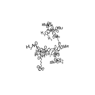 C=C1C[C@@H](CO[Si](C)(C)C(C)(C)C)N(C(=O)c2cc(OC)c(OCCCCCOc3cc(NC(=O)OC(C)(C)C)c(C(=O)N4CC(C)(C)C[C@H]4CO[Si](C)(C)C(C)(C)C)cc3OC)cc2NC(=O)OCc2ccc(NC(=O)[C@H](CCCNC(N)=O)NC(=O)[C@@H](NC(=O)CCCCCN3C(=O)C=CC3=O)C(C)C)cc2)C1